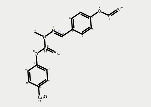 CN(/N=C/c1ccc(OP=S)cc1)[PH](=S)Oc1ccc(C=O)cc1